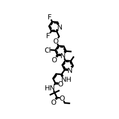 CCOC(=O)C(C)(C)NC(=O)/C=C\C(=N)c1cc(-n2c(C)cc(OCc3ncc(F)cc3F)c(Cl)c2=O)c(C)cn1